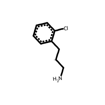 NC[CH]Cc1ccccc1Cl